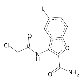 NC(=O)c1oc2ccc(I)cc2c1NC(=O)CCl